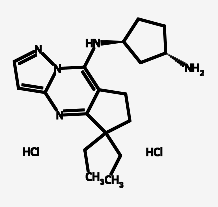 CCC1(CC)CCc2c1nc1ccnn1c2N[C@H]1CC[C@H](N)C1.Cl.Cl